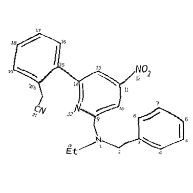 CCN(Cc1ccccc1)c1cc([N+](=O)[O-])cc(-c2ccccc2C#N)n1